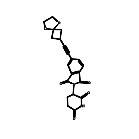 O=C1CCC(N2C(=O)c3ccc(C#CC4CC5(C4)OCCO5)cc3C2=O)C(=O)N1